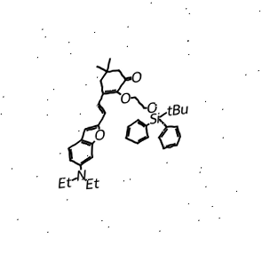 CCN(CC)c1ccc2cc(/C=C/C3=C(OCCO[Si](c4ccccc4)(c4ccccc4)C(C)(C)C)C(=O)CC(C)(C)C3)oc2c1